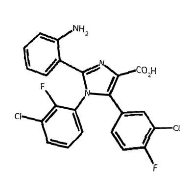 Nc1ccccc1-c1nc(C(=O)O)c(-c2ccc(F)c(Cl)c2)n1-c1cccc(Cl)c1F